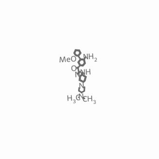 COc1ccccc1-c1cc(C(=O)c2nc3cc(N4CCC(N(C)C)CC4)ccc3[nH]2)ccc1N